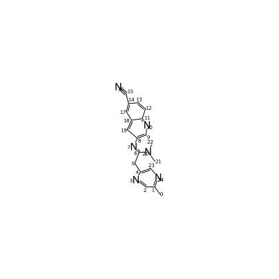 Cc1cnc(C/C(=N/c2cnc3ccc(C#N)cc3c2)N(C)C)cn1